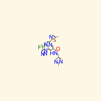 Cc1ncc(CNC(=O)c2cc(-n3nncc3C(C)(F)F)c3ncc(-c4ncc(C)s4)n3c2)cn1